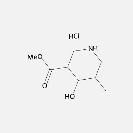 COC(=O)C1CNCC(C)C1O.Cl